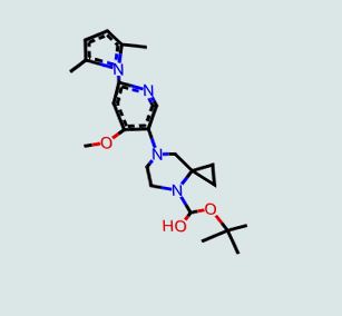 COc1cc(-n2c(C)ccc2C)ncc1N1CCN(C(O)OC(C)(C)C)C2(CC2)C1